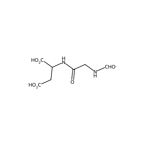 O=[C]NCC(=O)NC(CC(=O)O)C(=O)O